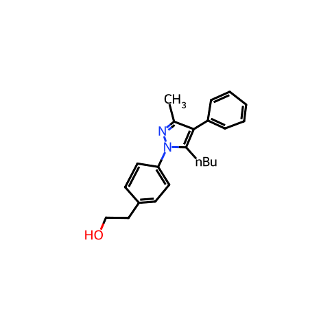 CCCCc1c(-c2ccccc2)c(C)nn1-c1ccc(CCO)cc1